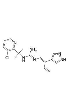 C=C/C(=C\N=C(/N)NC(C)(C)c1ncccc1Cl)c1cn[nH]c1